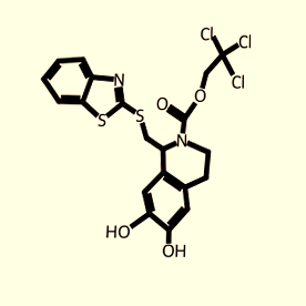 O=C(OCC(Cl)(Cl)Cl)N1CCc2cc(O)c(O)cc2C1CSc1nc2ccccc2s1